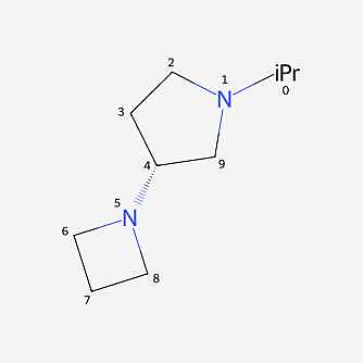 CC(C)N1CC[C@@H](N2CCC2)C1